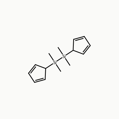 C[Si](C)(C1C=CC=C1)[Si](C)(C)C1C=CC=C1